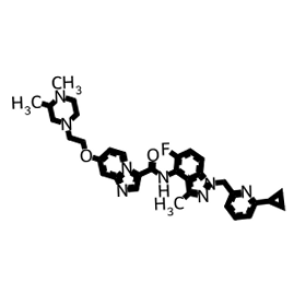 Cc1nn(Cc2cccc(C3CC3)n2)c2ccc(F)c(NC(=O)c3cnc4cc(OCCN5CCN(C)C(C)C5)ccn34)c12